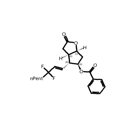 CCCCCC(F)(F)C=C[C@@H]1[C@H]2CC(=O)O[C@H]2C[C@H]1OC(=O)c1ccccc1